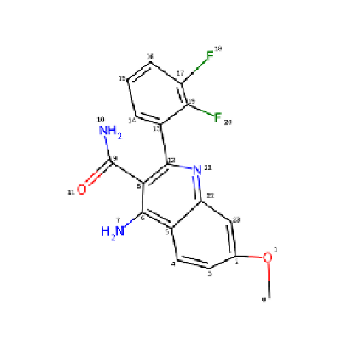 COc1ccc2c(N)c(C(N)=O)c(-c3cccc(F)c3F)nc2c1